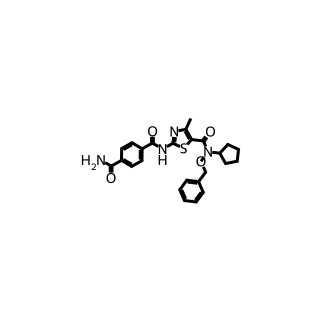 Cc1nc(NC(=O)c2ccc(C(N)=O)cc2)sc1C(=O)N(OCc1ccccc1)C1CCCC1